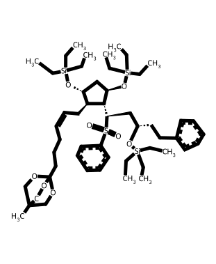 CC[Si](CC)(CC)O[C@@H](CCc1ccccc1)C[C@H]([C@@H]1[C@@H](C/C=C\CCCC23OCC(C)(CO2)CO3)[C@H](O[Si](CC)(CC)CC)C[C@H]1O[Si](CC)(CC)CC)S(=O)(=O)c1ccccc1